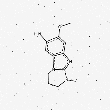 COc1cc2nc3n(c2cc1N)CCCN3C